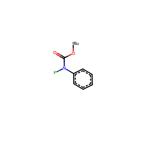 CC(C)(C)OC(=O)N(F)c1ccccc1